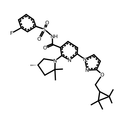 C[C@@H]1CN(c2nc(-n3ccc(OCC4C(C)(C)C4(C)C)n3)ccc2C(=O)NS(=O)(=O)c2cccc(F)c2)C(C)(C)C1